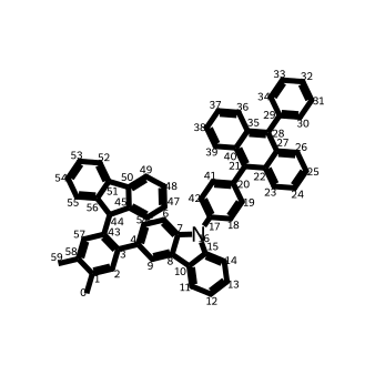 Cc1cc(-c2ccc3c(c2)c2ccccc2n3-c2ccc(-c3c4ccccc4c(-c4ccccc4)c4ccccc34)cc2)c(C2c3ccccc3-c3ccccc32)cc1C